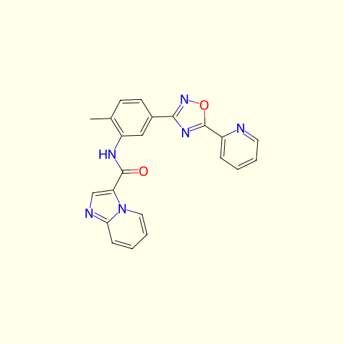 Cc1ccc(-c2noc(-c3ccccn3)n2)cc1NC(=O)c1cnc2ccccn12